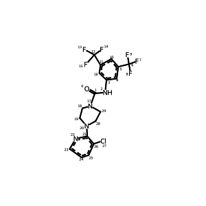 O=C(Nc1cc(C(F)(F)F)cc(C(F)(F)F)c1)N1CCN(c2ncccc2Cl)CC1